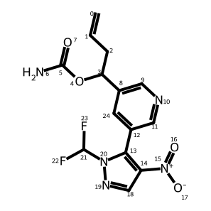 C=CCC(OC(N)=O)c1cncc(-c2c([N+](=O)[O-])cnn2C(F)F)c1